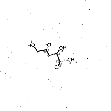 C[C@H](Cl)C(O)C[C@@H](Cl)CO